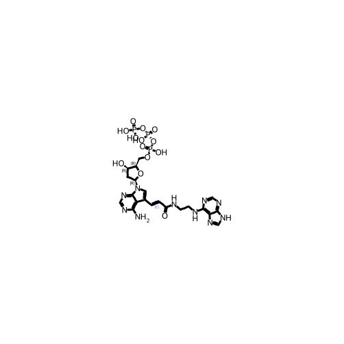 Nc1ncnc2c1c(/C=C/C(=O)NCCNc1ncnc3[nH]cnc13)cn2[C@H]1C[C@@H](O)[C@@H](COP(=O)(O)OP(=O)(O)OP(=O)(O)O)O1